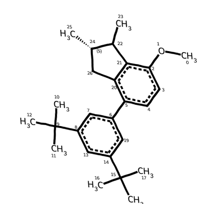 COc1ccc(-c2cc(C(C)(C)C)cc(C(C)(C)C)c2)c2c1C(C)[C@@H](C)C2